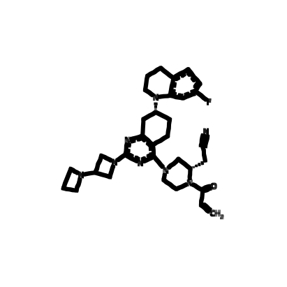 C=CC(=O)N1CCN(c2nc(N3CC(N4CCC4)C3)nc3c2CC[C@@H](N2CCCc4ccc(F)cc42)C3)C[C@@H]1CC#N